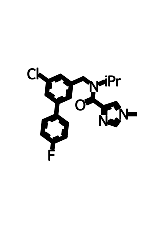 CC(C)N(Cc1cc(Cl)cc(-c2ccc(F)cc2)c1)C(=O)c1cn(C)cn1